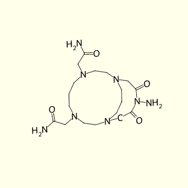 NC(=O)CN1CCCN(CC(N)=O)CCN2CCCN(CC1)CC(=O)N(N)C(=O)C2